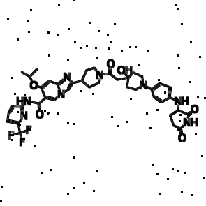 CC(C)Oc1cc2nc(C3CCN(C(=O)CC4(O)CCN(c5ccc(NC6CCC(=O)NC6=O)cc5)CC4)CC3)cn2cc1C(=O)Nc1cccc(C(F)(F)F)n1